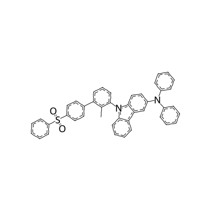 Cc1c(-c2ccc(S(=O)(=O)c3ccccc3)cc2)cccc1-n1c2ccccc2c2cc(N(c3ccccc3)c3ccccc3)ccc21